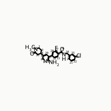 CN1CCC(c2cnc(N)c(-c3ccc(C(=O)NCc4cccc(Cl)c4)c(F)c3)c2)CC1=O